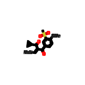 CNC=C(C(=O)c1ccc(OC)c(S(C)(=O)=O)c1)C(=O)C1CC1